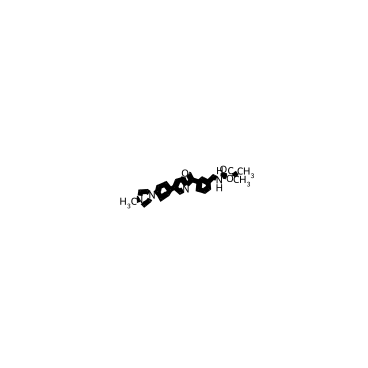 CN1CCN(c2ccc(-c3cnc4c(-c5cccc(CNC(=O)OC(C)(C)C)c5)coc4c3)cc2)CC1